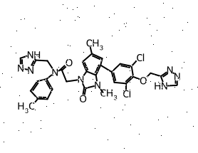 Cc1ccc(N(Cc2nnc[nH]2)C(=O)Cn2c(=O)n(C)c3c(-c4cc(Cl)c(OCc5nnc[nH]5)c(Cl)c4)cc(C)cc32)cc1